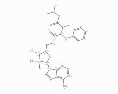 CC(C)OC(=O)C(C)N(Oc1ccccc1)[P@@H](=O)OC[C@H]1O[C@@H](n2ccc3c(N)ncnc32)[C@](C)(O)[C@@H]1O